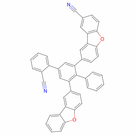 N#Cc1ccc2oc3ccc(-c4cc(-c5ccccc5C#N)cc(-c5ccc6oc7ccccc7c6c5)c4-c4ccccc4)cc3c2c1